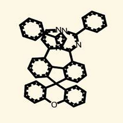 c1ccc(-c2nc(-c3ccccc3)nc(-c3cccc4c3-c3c(-c5ccncc5)cccc3C43c4ccccc4Oc4ccccc43)n2)cc1